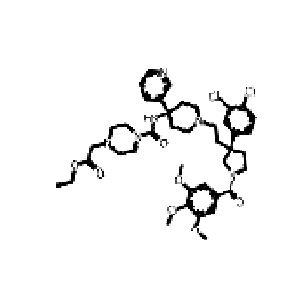 CCOC(=O)CN1CCN(C(=O)NC2(c3cccnc3)CCN(CCC3(c4ccc(Cl)c(Cl)c4)CCN(C(=O)c4cc(OC)c(OC)c(OC)c4)C3)CC2)CC1